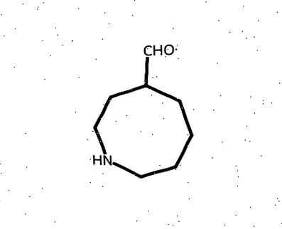 O=[C]C1CCCCNCC1